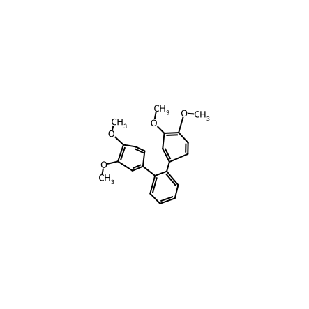 COc1ccc(-c2ccccc2-c2ccc(OC)c(OC)c2)cc1OC